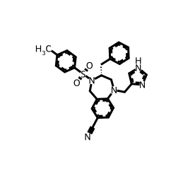 Cc1ccc(S(=O)(=O)N2Cc3cc(C#N)ccc3N(Cc3c[nH]cn3)C[C@H]2Cc2ccccc2)cc1